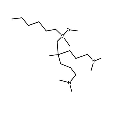 CCCCCC[Si](C)(CC(C)(CCCN(C)C)CCCN(C)C)OC